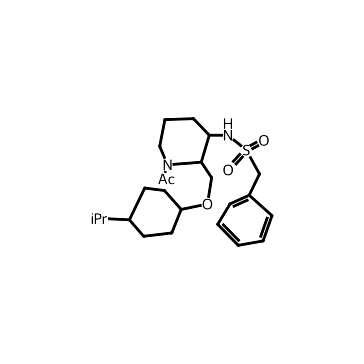 CC(=O)N1CCCC(NS(=O)(=O)Cc2ccccc2)C1COC1CCC(C(C)C)CC1